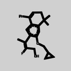 C/C(=C(\F)CO)c1cc2c(cc1OCC1CC1)C(C)(C)CC=C2C(C)C